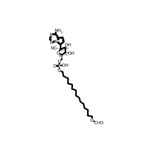 N#C[C@@]1(c2ccc3c(N)ncnn23)O[C@H](COP(=O)(O)OCCCCCCCCCCCCCCCOC=O)[C@@H](O)[C@H]1O